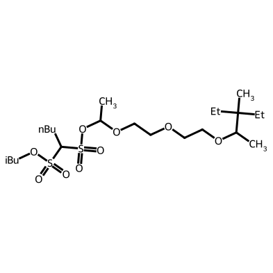 CCCCC(S(=O)(=O)OC(C)CC)S(=O)(=O)OC(C)OCCOCCOC(C)C(C)(CC)CC